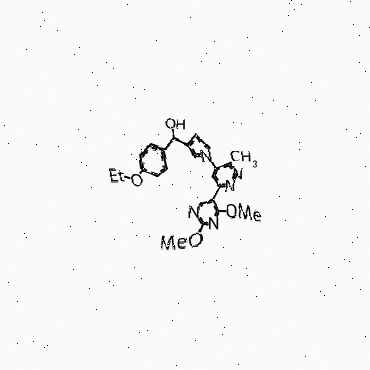 CCOc1ccc(C(O)c2ccn(-c3cc(-c4cnc(OC)nc4OC)nnc3C)c2)cc1